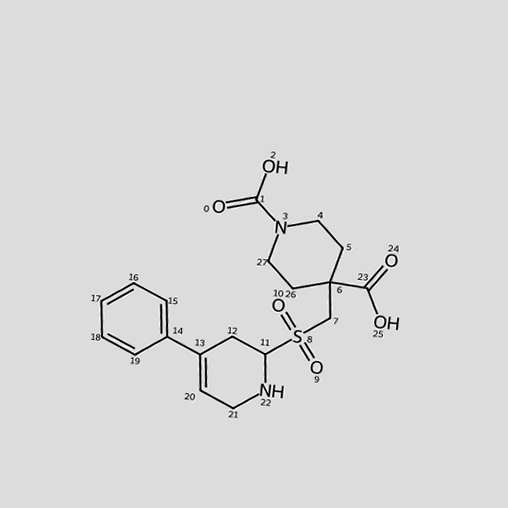 O=C(O)N1CCC(CS(=O)(=O)C2CC(c3ccccc3)=CCN2)(C(=O)O)CC1